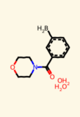 Bc1cccc(C(=O)N2CCOCC2)c1.O.O